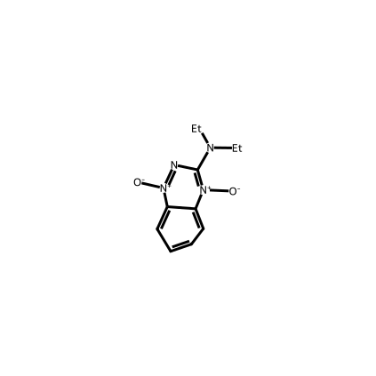 CCN(CC)c1n[n+]([O-])c2ccccc2[n+]1[O-]